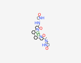 COc1nc(-c2cccc(-c3cccc(-c4ccc([C@@H](C)N5CC6(CCC(=O)N6)C5)c(OC)n4)c3Cl)c2Cl)ccc1CNC[C@@H]1CCC(=O)N1